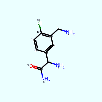 NCc1cc(C(N)C(N)=O)ccc1Cl